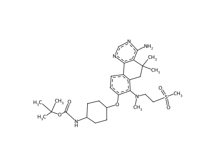 CN(CCS(C)(=O)=O)c1c(OC2CCC(NC(=O)OC(C)(C)C)CC2)ccc2c1CC(C)(C)c1c(N)ncnc1-2